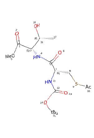 COC(=O)[C@@H](NC(=O)[C@H](CSC(C)=O)NC(=O)OC(C)(C)C)[C@@H](C)O